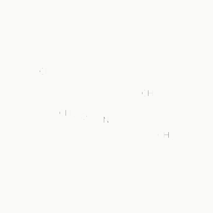 CCCC(CCC)c1cccc(OCc2ccc(Cl)cc2C)n1